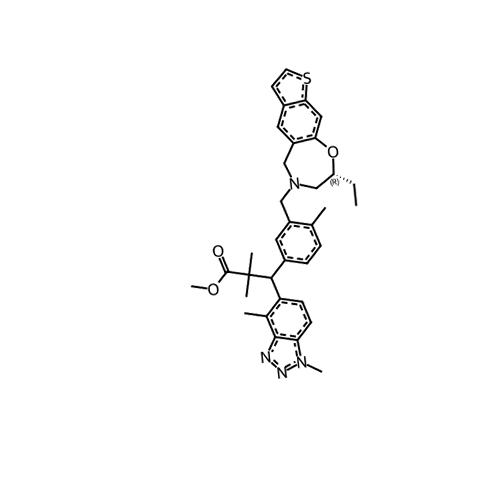 CC[C@@H]1CN(Cc2cc(C(c3ccc4c(nnn4C)c3C)C(C)(C)C(=O)OC)ccc2C)Cc2cc3ccsc3cc2O1